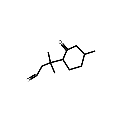 CC1CCC(C(C)(C)CC=O)C(=O)C1